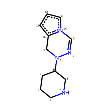 C1=NN(C2CCCNC2)Cc2cccn21